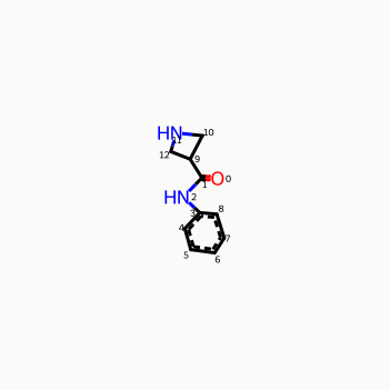 O=C(Nc1ccccc1)C1CNC1